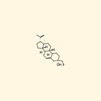 C=C(C)[C@H]1CC[C@H]2[C@@H]3CC=C4C[C@](O)(CF)CC[C@@H]4[C@H]3CC[C@]12C